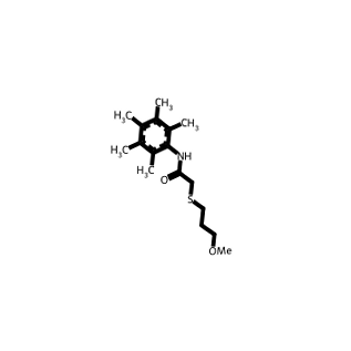 COCCCSCC(=O)Nc1c(C)c(C)c(C)c(C)c1C